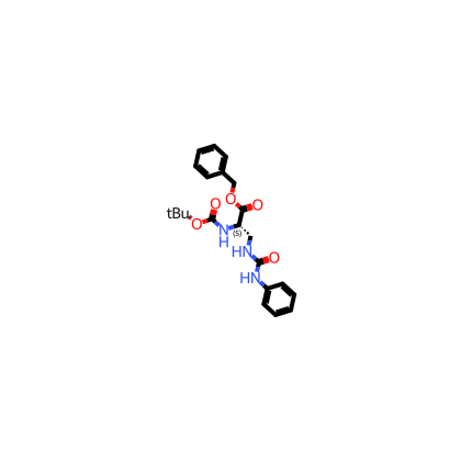 CC(C)(C)OC(=O)N[C@@H](CNC(=O)Nc1ccccc1)C(=O)OCc1ccccc1